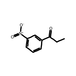 CCC(=O)c1cccc([N+](=O)[O-])c1